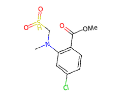 COC(=O)c1ccc(Cl)cc1N(C)C[SH](=O)=O